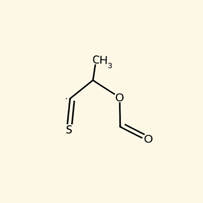 CC([C]=S)OC=O